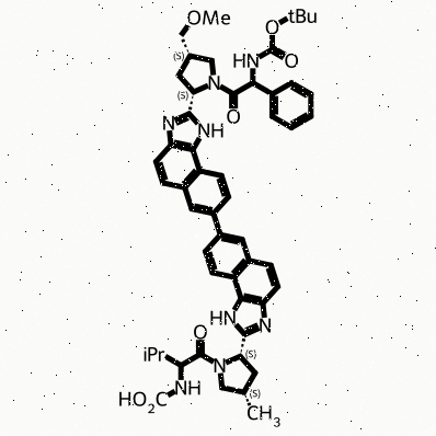 COC[C@H]1C[C@@H](c2nc3ccc4cc(-c5ccc6c(ccc7nc([C@@H]8C[C@H](C)CN8C(=O)C(NC(=O)O)C(C)C)[nH]c76)c5)ccc4c3[nH]2)N(C(=O)C(NC(=O)OC(C)(C)C)c2ccccc2)C1